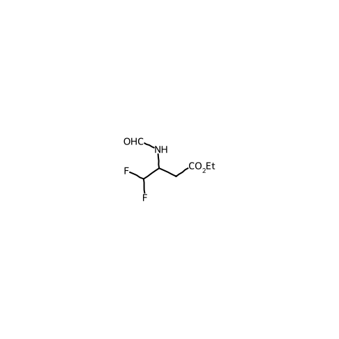 CCOC(=O)CC(NC=O)C(F)F